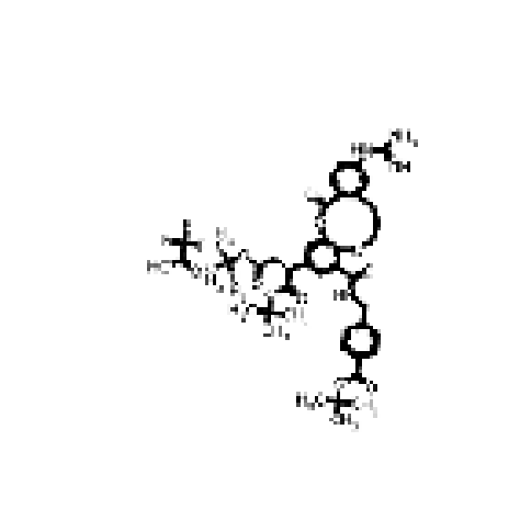 CC(C)(C)OC(=O)C[C@H](C(=O)OC(C)(C)C)c1cc2c(c(C(=O)NCc3ccc(C(=O)OC(C)(C)C)cc3)c1)OCCCc1cc(NC(=N)N)ccc1C(=O)O2.O=C(O)C(F)(F)F